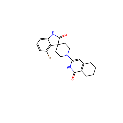 O=C1Nc2cccc(Br)c2C12CCN(c1cc3c(c(=O)[nH]1)CCCC3)CC2